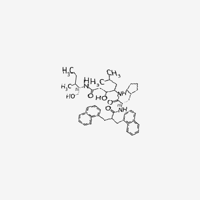 CCC(C)[C@@H](CO)NC(=O)CC(O)C(CC(C)C)NC(=O)[C@H](CC1CCCC1)NC(=O)C(Cc1cccc2ccccc12)Cc1cccc2ccccc12